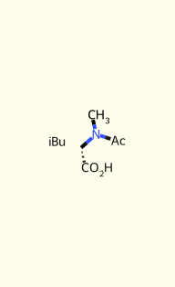 CC[C@H](C)[C@@H](C(=O)O)N(C)C(C)=O